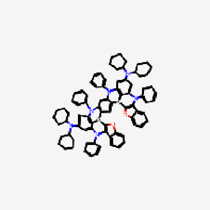 c1ccc(N2c3cc4c(cc3B3c5oc6ccccc6c5N(c5ccccc5)c5cc(N(C6CCCCC6)C6CCCCC6)cc2c53)B2c3oc5ccccc5c3N(c3ccccc3)c3cc(N(C5CCCCC5)C5CCCCC5)cc(c32)N4c2ccccc2)cc1